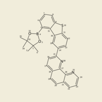 CC1(C)OB(c2cccc3sc4ccc(-c5ccc6ccc7cccnc7c6n5)cc4c23)OC1(C)C